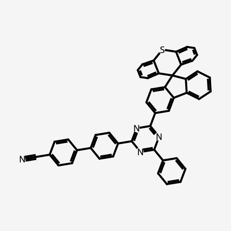 N#Cc1ccc(-c2ccc(-c3nc(-c4ccccc4)nc(-c4ccc5c(c4)-c4ccccc4C54c5ccccc5Sc5ccccc54)n3)cc2)cc1